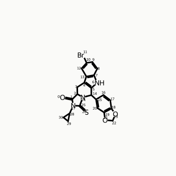 O=C1C2Cc3c([nH]c4ccc(Br)cc34)C(c3ccc4c(c3)OCO4)N2C(=S)N1C1CC1